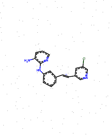 Nc1cccnc1Nc1cccc(/C=C/c2cncc(Cl)c2)c1